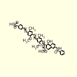 COc1cc(N=Nc2ccc(S(=O)(=O)O)cc2)c(C)cc1N=Nc1cc(OC)c(N=Nc2c(S(=O)(=O)O)cc3cc(NC(=O)c4ccccc4)ccc3c2O)cc1C